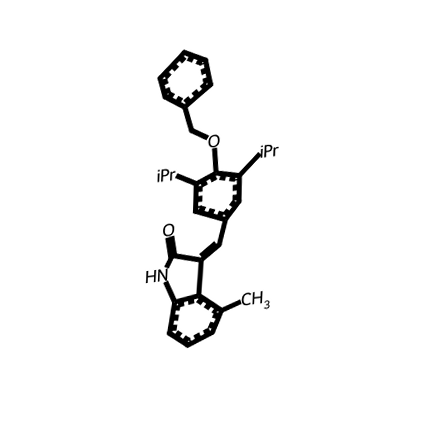 Cc1cccc2c1/C(=C/c1cc(C(C)C)c(OCc3ccccc3)c(C(C)C)c1)C(=O)N2